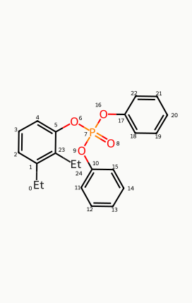 CCc1cccc(OP(=O)(Oc2ccccc2)Oc2ccccc2)c1CC